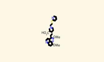 CONC(CC[C@@H]1CCN(CCSc2ccccn2)C[C@@H]1C(=O)O)c1ccnc2ccc(OC)cc12